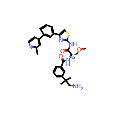 COC[C@H](NC(=O)c1cccc(C(C)(C)CN)c1)C(=O)Nc1nc(-c2cccc(-c3ccnc(C)c3)c2)cs1